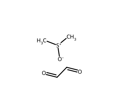 C[S+](C)[O-].O=CC=O